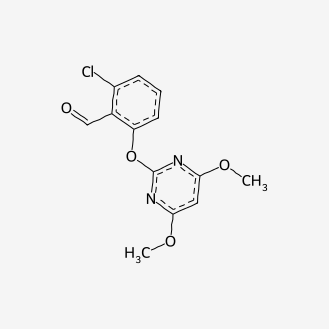 COc1cc(OC)nc(Oc2cccc(Cl)c2C=O)n1